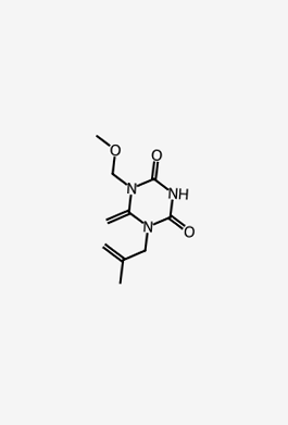 C=C(C)CN1C(=C)N(COC)C(=O)NC1=O